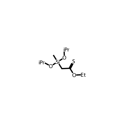 CCOC(=S)C[Si](C)(OC(C)C)OC(C)C